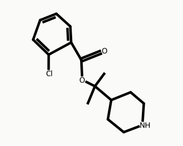 CC(C)(OC(=O)c1ccccc1Cl)C1CCNCC1